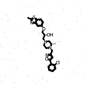 Cc1nc2cc(OC[C@H](O)CN3CCN(Cc4cc(-c5ccccc5Cl)on4)[C@@H](C)C3)ccc2s1